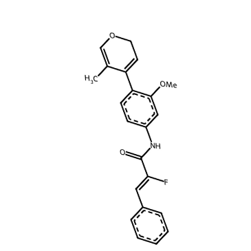 COc1cc(NC(=O)C(F)=Cc2ccccc2)ccc1C1=CCOC=C1C